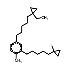 CCC1(CCCCCc2ccc(C)c(CCCCCC3(I)CC3)c2)CC1